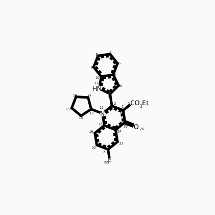 CCOC(=O)c1c(-c2cc3ccccc3[nH]2)n(C2CCCC2)c2ccc(F)cc2c1=O